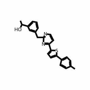 Cc1ccc(-c2ccc(-c3ccnc(Cc4cccc(C(C)O)c4)n3)s2)cc1